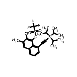 Cc1cc2cccc(C#C[Si](C(C)C)(C(C)C)C(C)C)c2c(OS(=O)(=O)C(F)(F)F)c1Cl